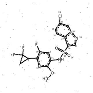 COc1nc(C2CC2(F)F)c(F)cc1NS(=O)(=O)c1cnn2cc(Cl)ccc12